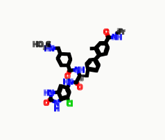 Cc1cc(C(=O)NC(C)C)ccc1-c1ccc(C[C@H](NC(=O)C2CCC(CNC(=O)O)CC2)C(=O)Nc2cc(Cl)c3[nH]c(=O)[nH]c3c2)cc1